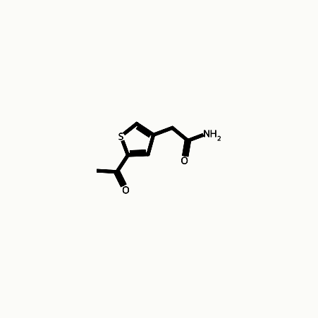 CC(=O)c1cc(CC(N)=O)cs1